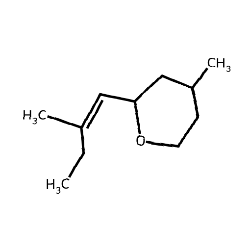 CC/C(C)=C\C1CC(C)CCO1